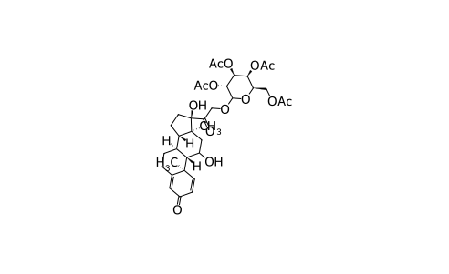 CC(=O)OC[C@H]1OC(OCC(=O)[C@@]2(O)CC[C@H]3[C@@H]4CCC5=CC(=O)C=C[C@]5(C)[C@H]4C(O)C[C@@]32C)[C@H](OC(C)=O)[C@@H](OC(C)=O)[C@H]1OC(C)=O